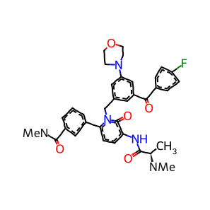 CNC(=O)c1cccc(-c2ccc(NC(=O)[C@@H](C)NC)c(=O)n2Cc2cc(C(=O)c3ccc(F)cc3)cc(N3CCOCC3)c2)c1